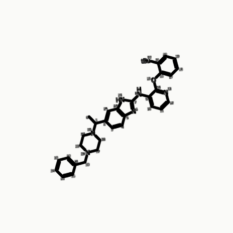 CC(c1ccc2nc(Nc3cccnc3Oc3ccccc3C(C)(C)C)[nH]c2c1)N1CCN(Cc2ccccc2)CC1